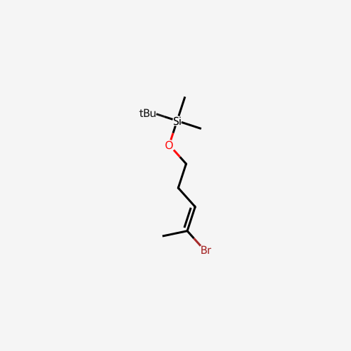 C/C(Br)=C\CCO[Si](C)(C)C(C)(C)C